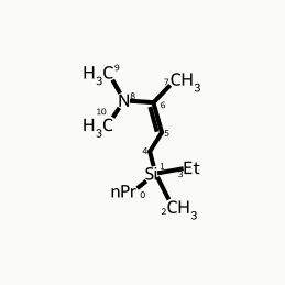 CCC[Si](C)(CC)CC=C(C)N(C)C